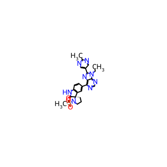 CCn1c(-c2cnc(C)nc2)nc2c(-c3ccc4c(c3)[C@]3(CCCN3S(C)(=O)=O)C(=O)N4)ncnc21